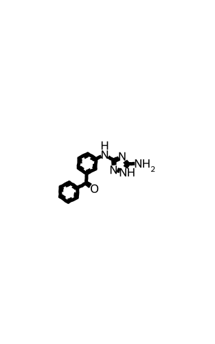 Nc1nc(Nc2cccc(C(=O)c3ccccc3)c2)n[nH]1